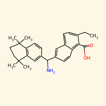 CCc1ccc2cc(C(N)c3ccc4c(c3)C(C)(C)CCC4(C)C)ccc2c1C(=O)O